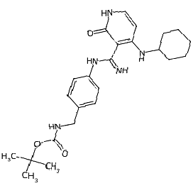 CC(C)(C)OC(=O)NCc1ccc(NC(=N)c2c(NC3CCCCC3)cc[nH]c2=O)cc1